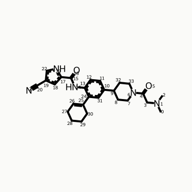 CN(C)CC(=O)N1CCC(c2ccc(NC(=O)c3cc(C#N)c[nH]3)c(C3=CCCCC3)c2)CC1